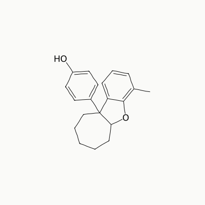 Cc1cccc2c1OC1CCCCCC21c1ccc(O)cc1